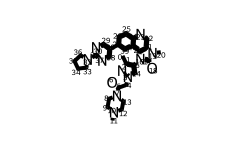 Cc1nn(CC(=O)N2CCN(C)CC2)cc1-n1c(=O)n(C)c2cnc3ccc(-c4cnc(N5CCCC5)nc4)cc3c21